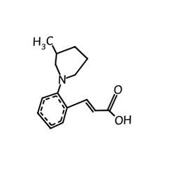 CC1CCCN(c2ccccc2C=CC(=O)O)C1